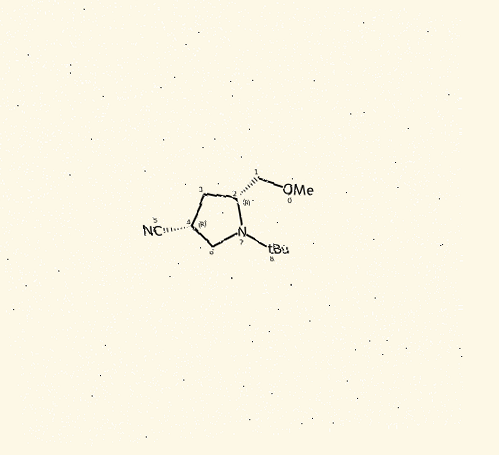 COC[C@H]1C[C@@H](C#N)CN1C(C)(C)C